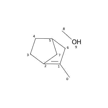 CC1=C2CCC(C1)C2.CO